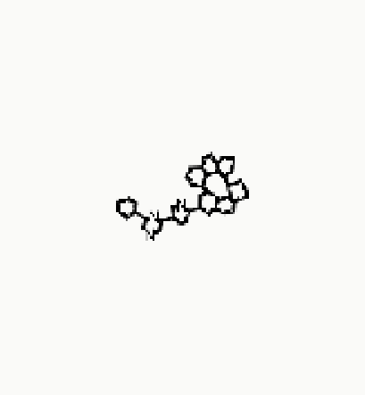 c1ccc(-c2cncc(-c3ccc(-c4cc5ccc6cccc7c8cccc9ccc%10cccc(c(c4)c5c67)c%10c98)nc3)n2)cc1